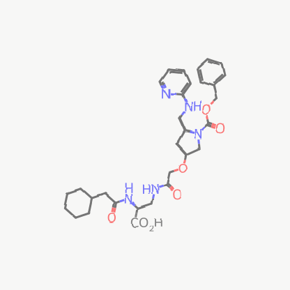 O=C(COC1CC(CNc2ccccn2)N(C(=O)OCc2ccccc2)C1)NCC(NC(=O)CC1CCCCC1)C(=O)O